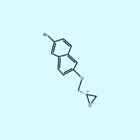 Brc1ccc2cc(OC[C@@H]3CO3)ccc2c1